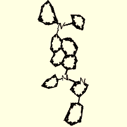 c1ccc(-c2ccnc(N(c3ccccc3)c3ccc4ccc5c(N(c6ccccc6)c6ccccc6)ccc6ccc3c4c65)c2)cc1